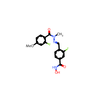 COc1ccc(C(=O)N(C)/N=C/c2ccc(C(=O)NO)cc2F)c(F)c1